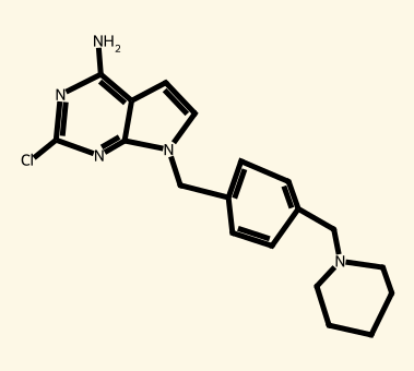 Nc1nc(Cl)nc2c1ccn2Cc1ccc(CN2CCCCC2)cc1